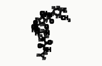 Cc1cc(NC(=O)c2c3c(cn2C)S(=O)(=O)N[C@@H]2CCN(C(=O)C(=O)NC4CC4)C[C@H]2CO3)ccc1F